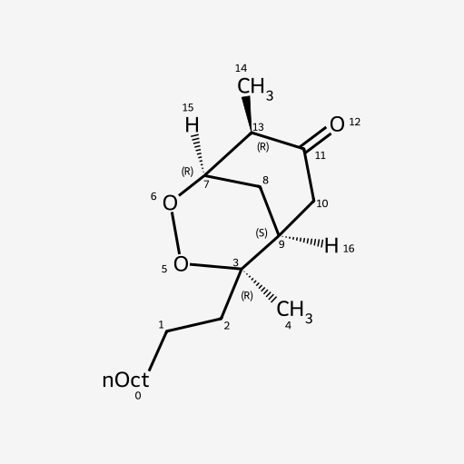 CCCCCCCCCC[C@@]1(C)OO[C@@H]2C[C@H]1CC(=O)[C@@H]2C